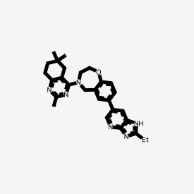 CCc1nc2ncc(-c3ccc4c(c3)CN(c3nc(C)nc5c3CC(C)(C)CC5)CCO4)cc2[nH]1